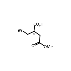 COC(=O)C[C@@H](CC(C)C)C(=O)O